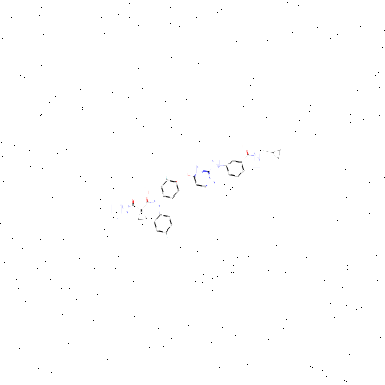 NC(=O)C1(C(=O)N(c2ccc(F)cc2)c2ccc(Oc3ccnc(Nc4cccc(C(=O)NCC5CC5)c4)n3)c(F)c2)CC1